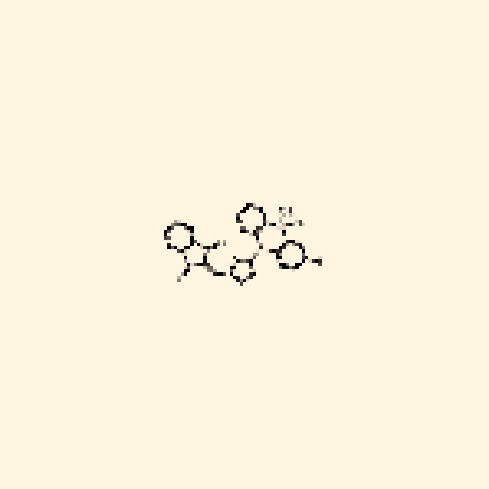 C[Si]1(C)c2ccccc2N(c2ccc(C=C3C(=O)c4ccccc4C3=O)s2)c2ccc(F)cc21